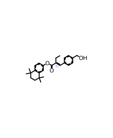 CC/C(=C\c1ccc(CO)cc1)C(=O)Oc1ccc2c(c1)C(C)(C)CCC2(C)C